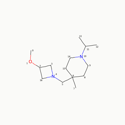 COC1CN(CC2(C)CCN(C(C)C)CC2)C1